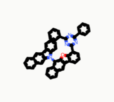 c1ccc(-c2nc(-c3ccccc3)nc(-c3cccc4c3oc3c(-n5c6ccccc6c6cc7ccccc7cc65)c5ccccc5cc34)n2)cc1